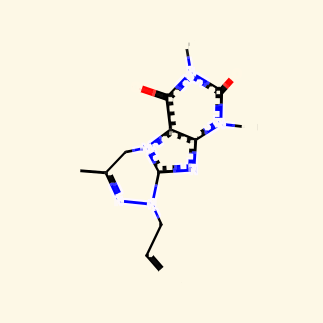 C=CCN1N=C(C)Cn2c1nc1c2c(=O)n(CCC)c(=O)n1C